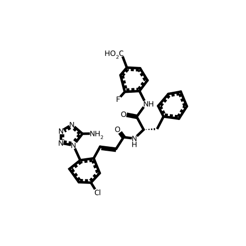 Nc1nnnn1-c1ccc(Cl)cc1/C=C/C(=O)N[C@@H](Cc1ccccc1)C(=O)Nc1ccc(C(=O)O)cc1F